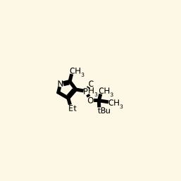 CCC1=C(P(C)OC(C)(C)C(C)(C)C)C(C)=NC1